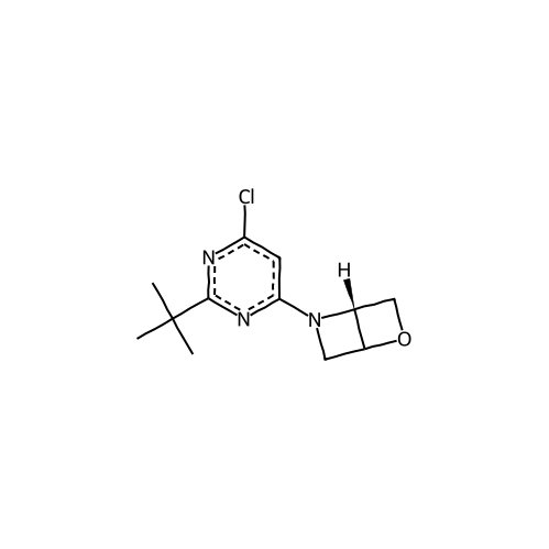 CC(C)(C)c1nc(Cl)cc(N2CC3OC[C@H]32)n1